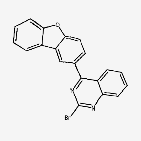 Brc1nc(-c2ccc3oc4ccccc4c3c2)c2ccccc2n1